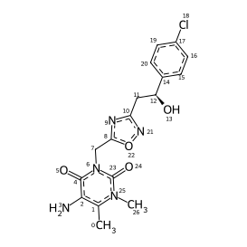 Cc1c(N)c(=O)n(Cc2nc(C[C@H](O)c3ccc(Cl)cc3)no2)c(=O)n1C